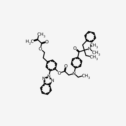 C=C(C)C(=O)OCCc1ccc(OC(=O)CN(CC)c2ccc(C(=O)C(CC)(Cc3ccccc3)N(C)C)cc2)c(-n2nc3ccccc3n2)c1